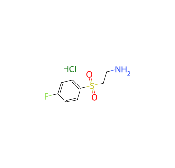 Cl.NCCS(=O)(=O)c1ccc(F)cc1